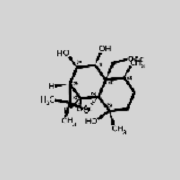 CC(=O)OC[C@]12[C@H](O)[C@H](O)[C@@H]3[C@@H](OC(C)=O)[C@]1(OC3(C)C)[C@@](C)(O)CC[C@@H]2C